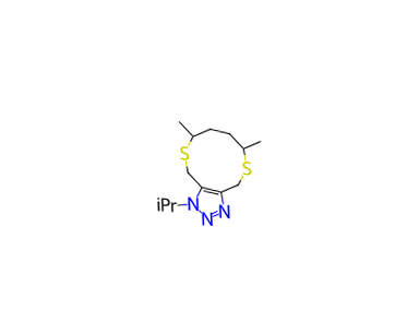 CC1CCC(C)SCc2c(nnn2C(C)C)CS1